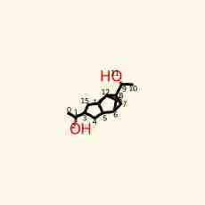 CC(O)C1CC2C3CC(C(C)O)C(C3)C2C1